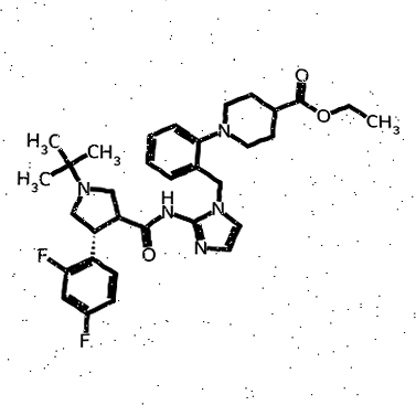 CCOC(=O)C1CCN(c2ccccc2Cn2ccnc2NC(=O)C2CN(C(C)(C)C)C[C@H]2c2ccc(F)cc2F)CC1